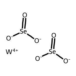 O=[Se]([O-])[O-].O=[Se]([O-])[O-].[W+4]